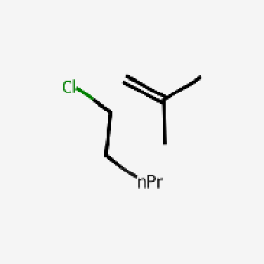 C=C(C)C.CCCCCCl